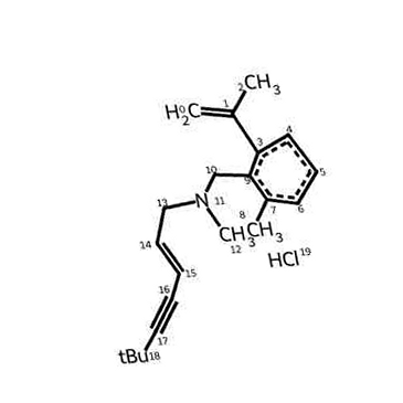 C=C(C)c1cccc(C)c1CN(C)C/C=C/C#CC(C)(C)C.Cl